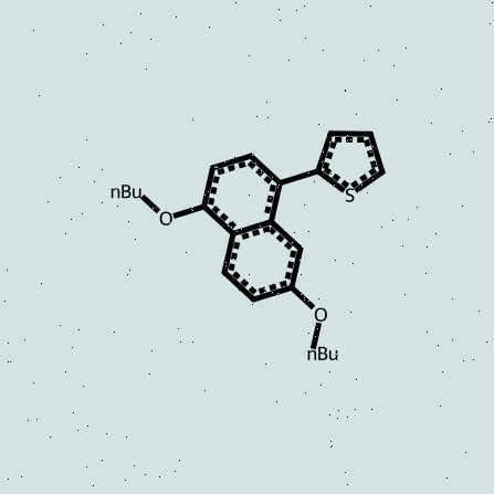 CCCCOc1ccc2c(OCCCC)ccc(-c3cccs3)c2c1